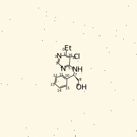 CCc1ncnc(N[C@@H](CO)c2ccccc2)c1Cl